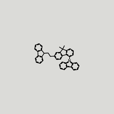 CC1(C)c2cc(CCC3c4ccccc4-c4ccccc43)ccc2-c2c(-n3c4ccccc4c4ccccc43)cccc21